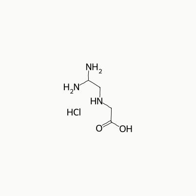 Cl.NC(N)CNCC(=O)O